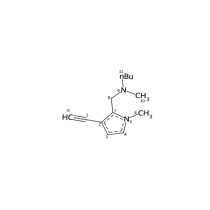 C#Cc1ccn(C)c1CN(C)CCCC